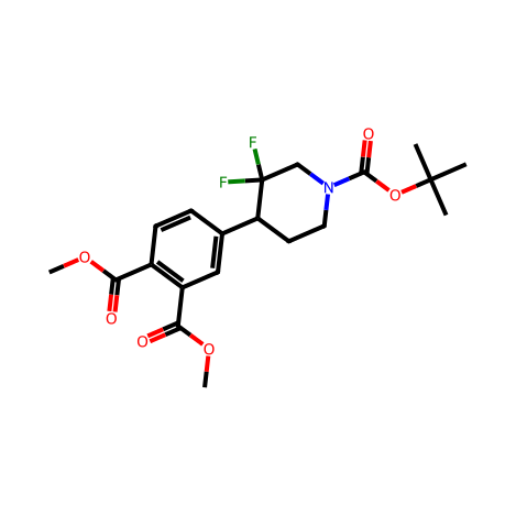 COC(=O)c1ccc(C2CCN(C(=O)OC(C)(C)C)CC2(F)F)cc1C(=O)OC